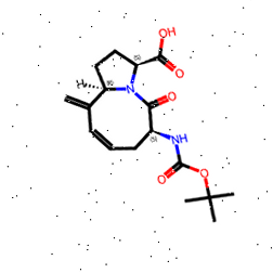 C=C1C=CC[C@H](NC(=O)OC(C)(C)C)C(=O)N2[C@@H]1CC[C@H]2C(=O)O